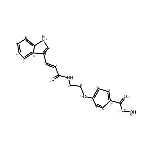 O=C(C=Cc1c[nH]c2ccccc12)NCCOc1ccc(C(=O)NO)cc1